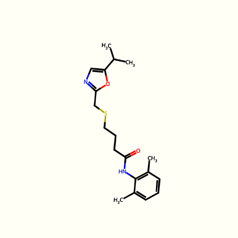 Cc1cccc(C)c1NC(=O)CCCSCc1ncc(C(C)C)o1